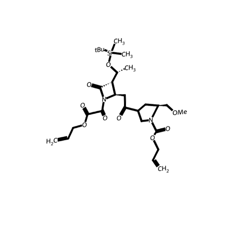 C=CCOC(=O)C(=O)N1C(=O)[C@H]([C@@H](C)O[Si](C)(C)C(C)(C)C)[C@H]1CC(=O)C1C[C@@H](COC)N(C(=O)OCC=C)C1